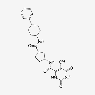 O=C(N[C@@H]1CC[C@@H](C(=O)NC2CCC(c3ccccc3)CC2)C1)c1[nH]c(=O)[nH]c(=O)c1O